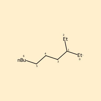 C[CH]C(CC)CCCCCCC